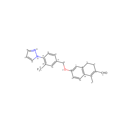 CC1=C(C=O)CCc2cc(OCc3ccc(-n4cccn4)c(C(F)(F)F)c3)ccc21